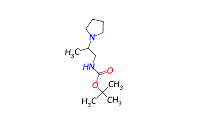 CC(CNC(=O)OC(C)(C)C)N1CCCC1